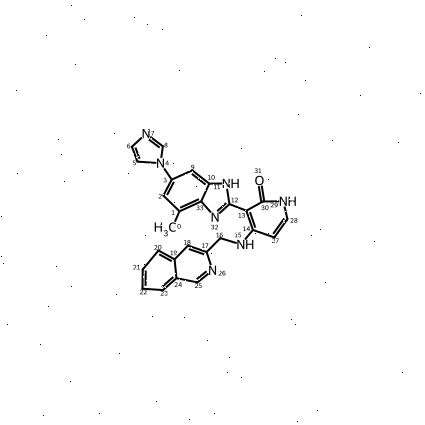 Cc1cc(-n2ccnc2)cc2[nH]c(-c3c(NCc4cc5ccccc5cn4)cc[nH]c3=O)nc12